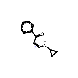 O=C(/C=C\NC1CC1)c1ccccc1